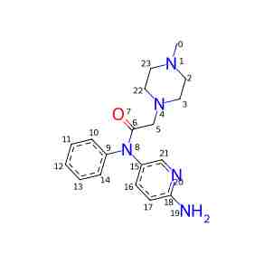 CN1CCN(CC(=O)N(c2ccccc2)c2ccc(N)nc2)CC1